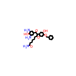 NC(=O)CCCCCc1oc2cc(OCc3ccccc3)c(O)cc2c1C(=O)c1cc(N)c(O)c(N)c1